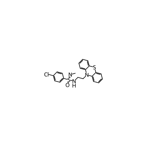 CN=S(=O)(NCCN1c2ccccc2Sc2ccccc21)c1ccc(Cl)cc1